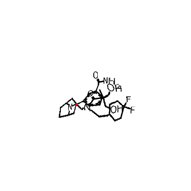 CC(CO)(CO)C(=O)N(CCN1C2CCC1CC(c1cccc(C(N)=O)c1)C2)CC1CCC(F)(F)CC1